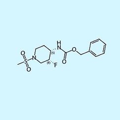 CS(=O)(=O)N1CC[C@H](NC(=O)OCc2ccccc2)[C@H](F)C1